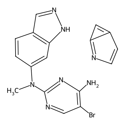 CN(c1ccc2cn[nH]c2c1)c1ncc(Br)c(N)n1.c1cc2cc-2n1